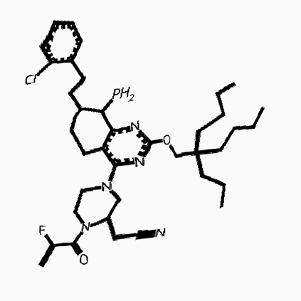 C=C(F)C(=O)N1CCN(c2nc(OCC(CCC)(CCCC)CCCC)nc3c2CCC(CCc2ccccc2Cl)C3P)CC1CC#N